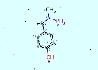 CN(P)Bc1ccc(O)cc1